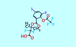 CC(C)(OC(=O)c1cc(I)cc(I)c1OC(=O)C(F)(F)F)C(F)(F)C(=O)O